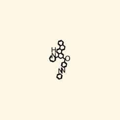 O=C(c1ccc(N=Nc2ccccc2)cc1)C1C=c2c(ccc3c2=CCc2ccccc2-3)C(C2=CC=CC=CN2)C1